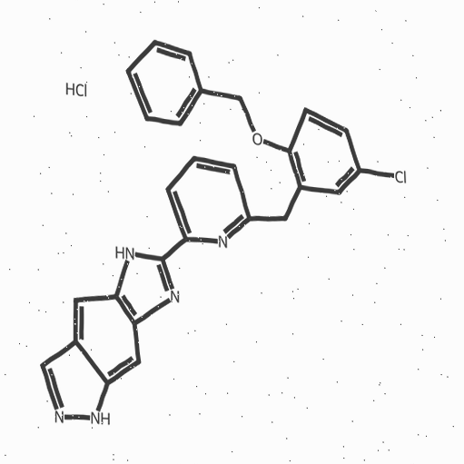 Cl.Clc1ccc(OCc2ccccc2)c(Cc2cccc(-c3nc4cc5[nH]ncc5cc4[nH]3)n2)c1